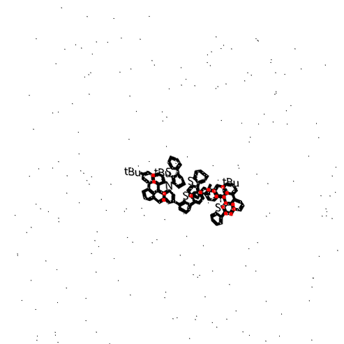 CC(C)(C)c1cc(-c2cccc3cccc(-c4ccccc4N(c4cccc(-c5cccc6c5sc5cc(CC(C)(C)c7cc(-c8cccc9cccc(-c%10ccccc%10N(c%10ccc(-c%11cccc%12sc%13ccccc%13c%11%12)cc%10)c%10cccc%11c%10sc%10ccccc%10%11)c89)cc(C(C)(C)C)c7)ccc56)c4)c4cccc5c4sc4ccccc45)c23)cc(C(C)(C)C)c1